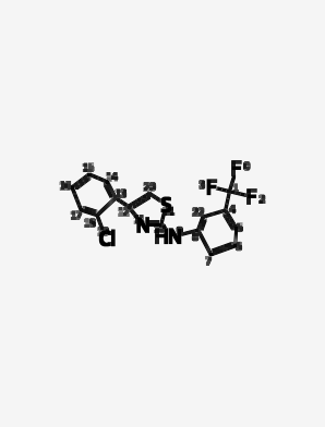 FC(F)(F)c1cccc(Nc2nc(-c3ccccc3Cl)cs2)c1